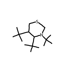 CC(C)(C)C1CSCN(C(C)(C)C)C1C(C)(C)C